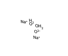 O.O.[Na+].[Na+].[O-2]